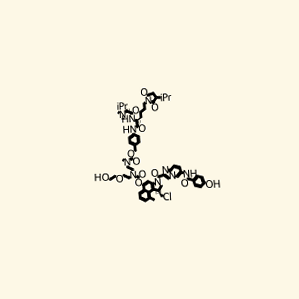 Cc1cccc2c(OC(=O)N(CCOCCO)CCN(C)C(=O)OCc3ccc(NC(=O)[C@H](CCCCN4C(=O)CC(C(C)C)C4=O)NC(=O)[C@H](C(C)C)N(C)C)cc3)cc3c(c12)[C@H](CCl)CN3C(=O)c1cn2cc(NC(=O)c3ccc(O)cc3)ccc2n1